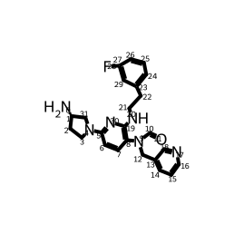 N[C@@H]1CCN(c2ccc(N(C=O)Cc3cccnc3)c(NCCc3cccc(F)c3)n2)C1